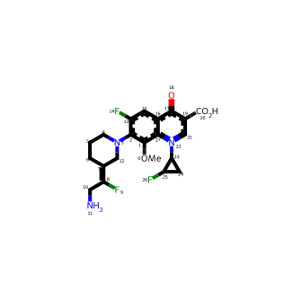 COc1c(N2CCCC(=C(F)CN)C2)c(F)cc2c(=O)c(C(=O)O)cn(C3CC3F)c12